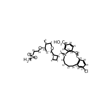 C[C@H]1CO[C@H]([C@@H]2CC[C@H]2CN2CCCCc3cc(Cl)ccc3COc3ccc(C(=O)O)cc32)C[C@H]1OCCS(N)(=O)=O